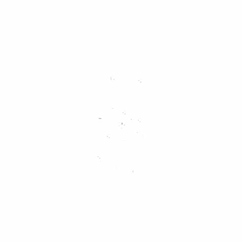 CNc1cncc(C(=O)N2C[C@H](Nc3c(-c4nnn(C)n4)cc(Br)cc3[N+](=O)[O-])[C@@H](OC)C2)c1